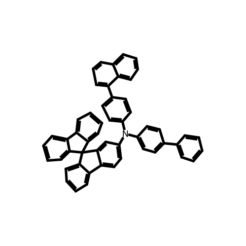 c1ccc(-c2ccc(N(c3ccc(-c4cccc5ccccc45)cc3)c3ccc4c(c3)C3(c5ccccc5-c5ccccc53)c3ccccc3-4)cc2)cc1